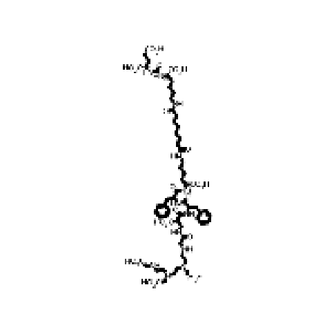 O=C(O)CC[C@H](NC(=O)N[C@@H](CCCCNC(=O)CCCCCCC(=O)NCCCCC(NC(=O)C(Cc1ccccc1)NC(=O)C(Cc1ccccc1)NC(=O)C(CNC(=O)CNCCN(CCN(CCNCC(=O)O)CC(=O)O)CC(=O)O)C(=O)O)C(=O)O)C(=O)O)C(=O)O